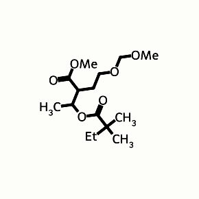 CCC(C)(C)C(=O)OC(C)C(CCOCOC)C(=O)OC